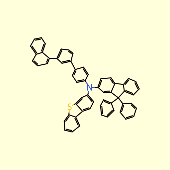 c1ccc(C2(c3ccccc3)c3ccccc3-c3ccc(N(c4ccc(-c5cccc(-c6cccc7ccccc67)c5)cc4)c4ccc5c(c4)sc4ccccc45)cc32)cc1